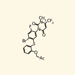 CC(=O)COc1ccccc1Sc1cc(-n2c(=O)cc(C(F)(F)F)n(C)c2=O)c(F)cc1Br